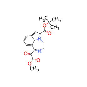 COC(=O)C(=O)C1=NCCN2C(C(=O)OC(C)(C)C)C=C3C=CC=C1C32